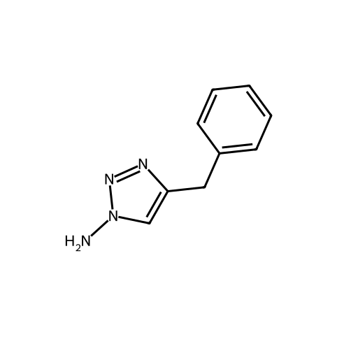 Nn1cc(Cc2ccccc2)nn1